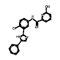 O=C(Nc1ccc(Cl)c(-c2ncc(-c3ccccc3)[nH]2)c1)c1cccc(O)n1